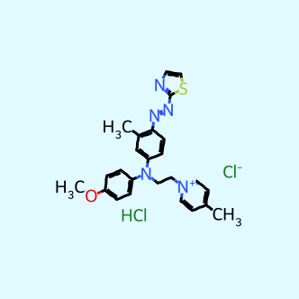 COc1ccc(N(CC[n+]2ccc(C)cc2)c2ccc(N=Nc3nccs3)c(C)c2)cc1.Cl.[Cl-]